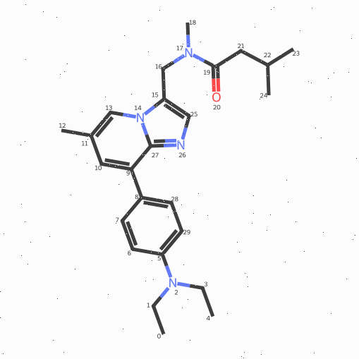 CCN(CC)c1ccc(-c2cc(C)cn3c(CN(C)C(=O)CC(C)C)cnc23)cc1